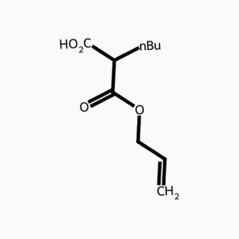 C=CCOC(=O)C(CCCC)C(=O)O